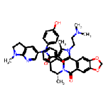 Cc1c(C(=O)N(c2ccc(O)cc2)c2cnc3c(c2)CCN3C)cc(-c2cc3c(cc2C(=O)N2Cc4ccccc4C[C@H]2C)OCO3)n1CCN(C)C